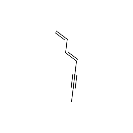 C=CC=CC#CC